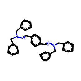 C(=N\N(Cc1ccccc1)Cc1ccccc1)/c1ccc(/C=N/N(Cc2ccccc2)Cc2ccccc2)cc1